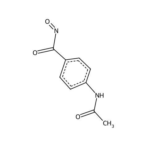 CC(=O)Nc1ccc(C(=O)N=O)cc1